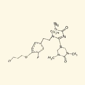 CN1CN(C(=NC(=O)OC(C)(C)C)N(CCc2ccc(OCCCCl)c(F)c2)C(=O)O)CN(C)C1=O